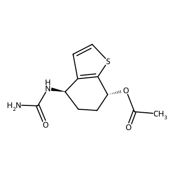 CC(=O)O[C@@H]1CC[C@@H](NC(N)=O)c2ccsc21